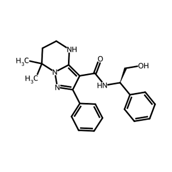 CC1(C)CCNc2c(C(=O)N[C@@H](CO)c3ccccc3)c(-c3ccccc3)nn21